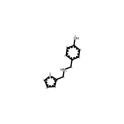 Oc1ccc(CNCc2cccs2)cc1